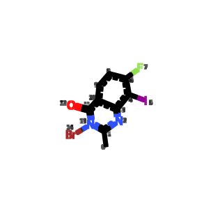 Cc1nc2c(I)c(F)ccc2c(=O)n1Br